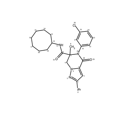 CC(C)c1cc2n(n1)CC(C)(C(=O)NC1CCCCCCC1)N(c1cccc(Cl)c1)C2=O